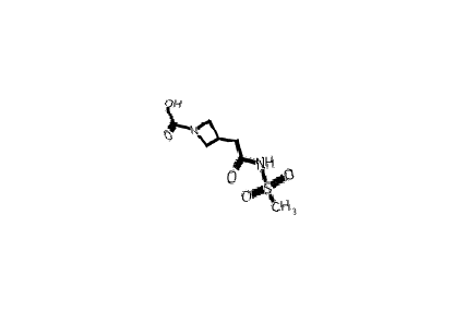 CS(=O)(=O)NC(=O)CC1CN(C(=O)O)C1